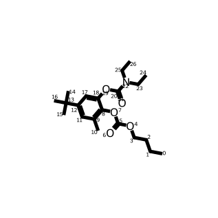 CCCCOC(=O)Oc1c(C)cc(C(C)(C)C)cc1OC(=O)N(CC)CC